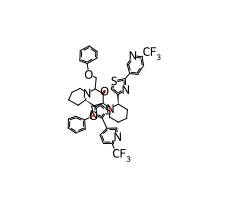 O=C(C(COc1ccccc1)N1CCCC[C@@H]1c1csc(-c2ccc(C(F)(F)F)nc2)n1)C(COc1ccccc1)N1CCCC[C@@H]1c1csc(-c2ccc(C(F)(F)F)nc2)n1